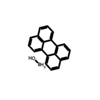 BO.c1cc2cccc3c4cccc5cccc(c(c1)c23)c54